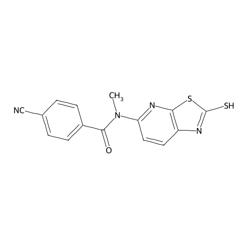 CN(C(=O)c1ccc(C#N)cc1)c1ccc2nc(S)sc2n1